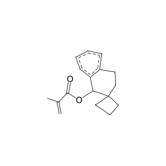 C=C(C)C(=O)OC1c2ccccc2CCC12CCC2